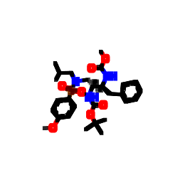 COC(=O)N[C@@H](Cc1ccccc1)[C@@H](CN(CC(C)C)S(=O)(=O)c1ccc(OC)cc1)NC(=O)OC(C)(C)C